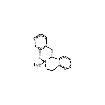 C[N+]12CCc3ccccc3C1Cc1ccccc1C2